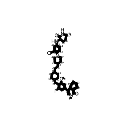 COc1cc(-c2cn(C)c(=O)c3ccccc23)cc(F)c1CC1CCC(CCC2CCN(c3ccc(NC4CCC(=O)NC4=O)cc3Cl)CC2)CC1